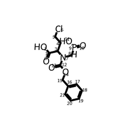 O=C(O)C(CCCl)N(C[PH](=O)O)C(=O)OCc1ccccc1